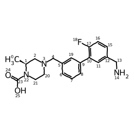 C[C@H]1CN(Cc2cccc(-c3cc(CN)ccc3F)c2)CCN1C(=O)O